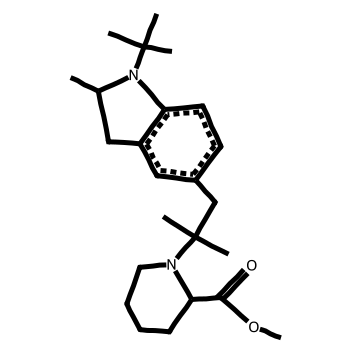 COC(=O)C1CCCCN1C(C)(C)Cc1ccc2c(c1)CC(C)N2C(C)(C)C